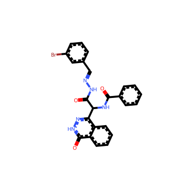 O=C(NC(C(=O)NN=Cc1cccc(Br)c1)c1n[nH]c(=O)c2ccccc12)c1ccccc1